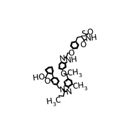 CCCc1nc2c(C)cc(C(C)Oc3ccc4nc(COc5ccc(CC6SC(=O)NC6=O)cc5)[nH]c4c3)cc2n1Cc1ccc(-c2ccccc2C(=O)O)cc1